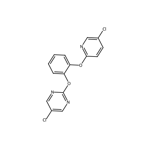 Clc1ccc(Oc2ccccc2Oc2ncc(Cl)cn2)nc1